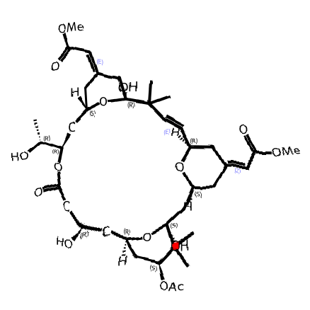 COC(=O)/C=C1/C[C@H]2C[C@]3(O)O[C@H](C[C@@H](O)CC(=O)O[C@@H]([C@@H](C)O)C[C@@H]4C/C(=C\C(=O)OC)C[C@@](O)(O4)C(C)(C)/C=C/[C@@H](C1)O2)C[C@H](OC(C)=O)C3(C)C